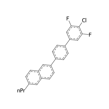 CCCc1ccc2cc(-c3ccc(-c4cc(F)c(Cl)c(F)c4)cc3)ccc2c1